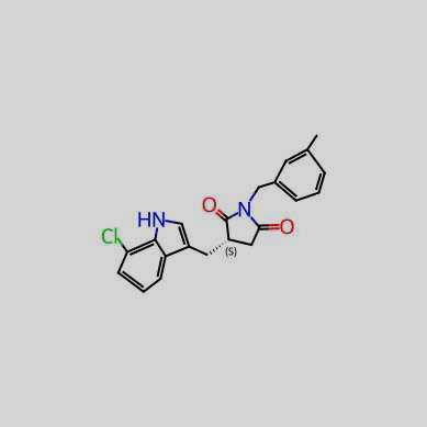 Cc1cccc(CN2C(=O)C[C@H](Cc3c[nH]c4c(Cl)cccc34)C2=O)c1